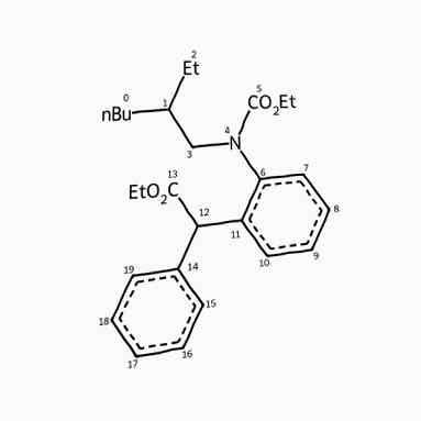 CCCCC(CC)CN(C(=O)OCC)c1ccccc1C(C(=O)OCC)c1ccccc1